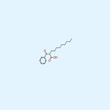 CCCCCCCCCC(C(=O)O)C(=O)c1ccccc1